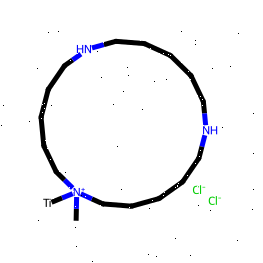 C[N+]1([Ti])CCCCCNCCCCCNCCCCC1.[Cl-].[Cl-]